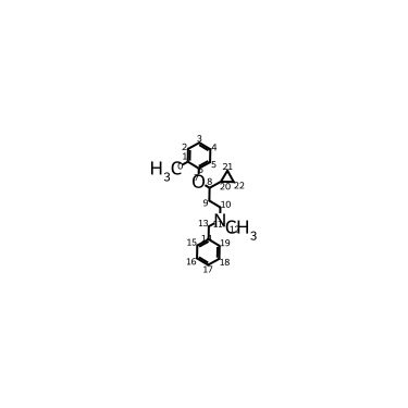 Cc1ccccc1OC(CCN(C)Cc1ccccc1)C1CC1